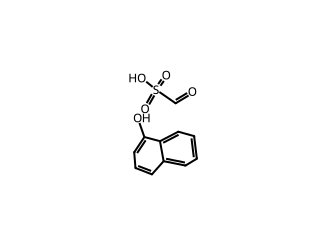 O=CS(=O)(=O)O.Oc1cccc2ccccc12